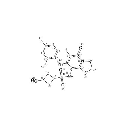 Cc1c(Nc2ccc(I)cc2F)c(NS(=O)(=O)C2CC(O)C2)c2n(c1=O)CCS2